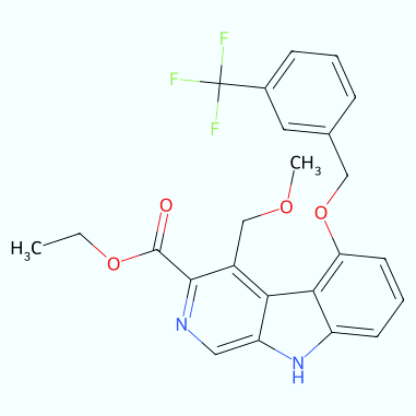 CCOC(=O)c1ncc2[nH]c3cccc(OCc4cccc(C(F)(F)F)c4)c3c2c1COC